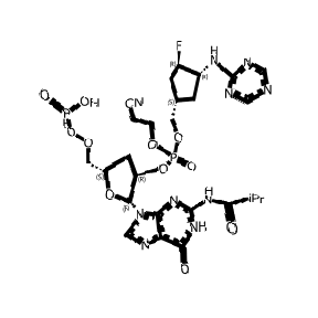 CC(C)C(=O)Nc1nc2c(ncn2[C@@H]2O[C@H](COO[PH](=O)O)C[C@H]2OP(=O)(OCCC#N)OC[C@@H]2C[C@@H](F)[C@H](Nc3ncncn3)C2)c(=O)[nH]1